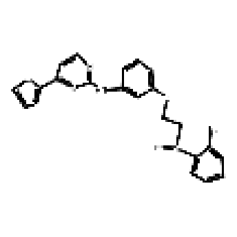 CCc1ccccc1N(CC)CCOc1cccc(Nc2nccc(-c3cccs3)n2)c1